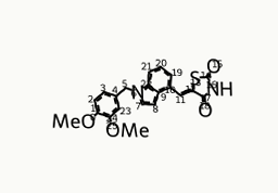 COc1ccc(Cn2ccc3c(/C=C4\SC(=O)NC4=O)cccc32)cc1OC